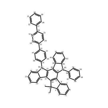 CC1(C)c2ccccc2-c2c1c1c3ccccc3n(-c3ccc(-c4ccc(-c5ccccc5)nn4)cc3)c1c1c3ccccc3n(-c3ccccc3)c21